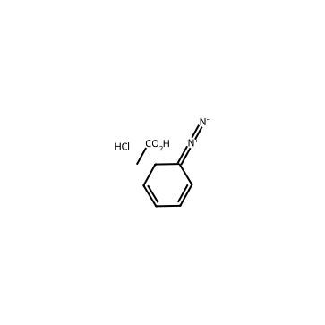 CC(=O)O.Cl.[N-]=[N+]=C1C=CC=CC1